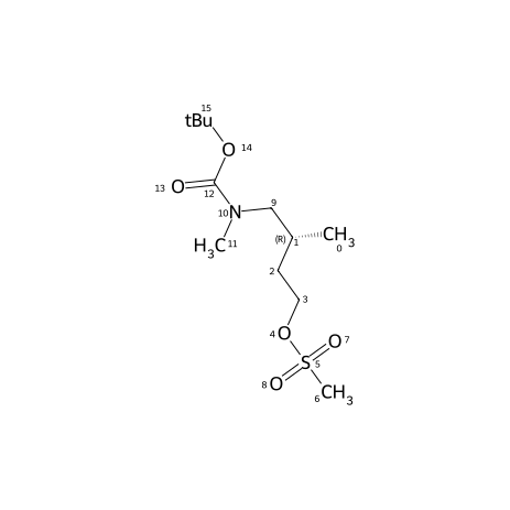 C[C@H](CCOS(C)(=O)=O)CN(C)C(=O)OC(C)(C)C